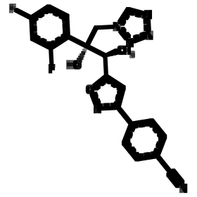 C[C@@H](c1cc(-c2ccc(C#N)cc2)no1)[C@](O)(Cn1cnnn1)c1ccc(F)cc1F